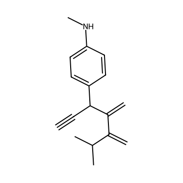 C#CC(C(=C)C(=C)C(C)C)c1ccc(NC)cc1